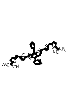 N#CC(C#N)=c1cc/c(=C/c2ccc(-c3cc4c(-c5ccccc5)c5sc(-c6ccc(/C=c7/ccc(=C(C#N)C#N)s7)s6)cc5c(-c5ccccc5)c4s3)s2)s1